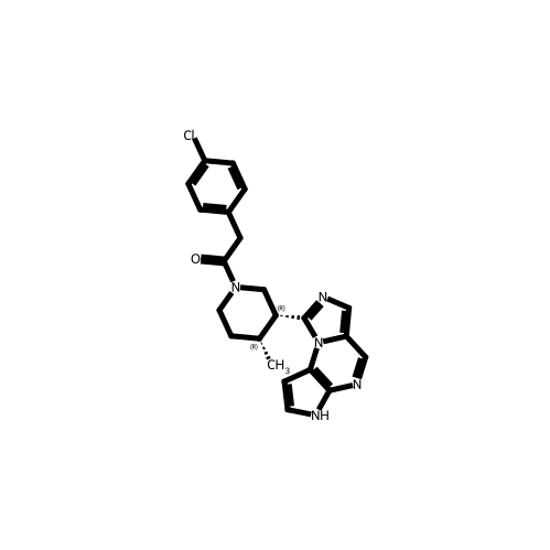 C[C@@H]1CCN(C(=O)Cc2ccc(Cl)cc2)C[C@@H]1c1ncc2cnc3[nH]ccc3n12